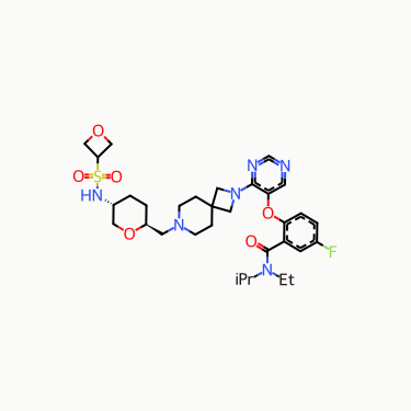 CCN(C(=O)c1cc(F)ccc1Oc1cncnc1N1CC2(CCN(C[C@@H]3CC[C@@H](NS(=O)(=O)C4COC4)CO3)CC2)C1)C(C)C